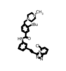 CN1CCN(Cc2ccc(C(=O)Nc3cccc(C#Cc4nnc5cccc(Cl)n45)c3)cc2C(C)(C)C)CC1